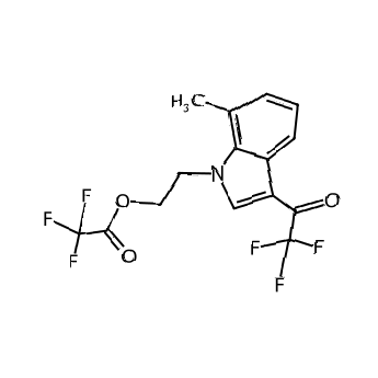 Cc1cccc2c(C(=O)C(F)(F)F)cn(CCOC(=O)C(F)(F)F)c12